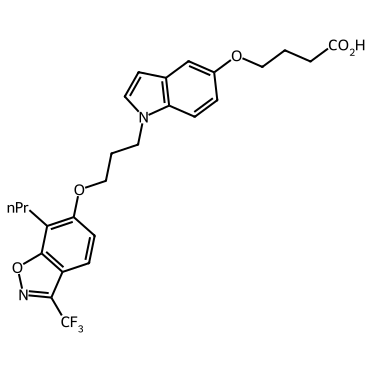 CCCc1c(OCCCn2ccc3cc(OCCCC(=O)O)ccc32)ccc2c(C(F)(F)F)noc12